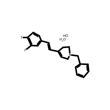 Cl.Fc1ccc(/C=C/C2=CCN(Cc3ccccc3)CC2)cc1F.O